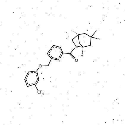 CC1(C)C[C@@H]2C[C@@](C)(CN2C(=O)c2cccc(COc3cccc(C(F)(F)F)c3)n2)C1